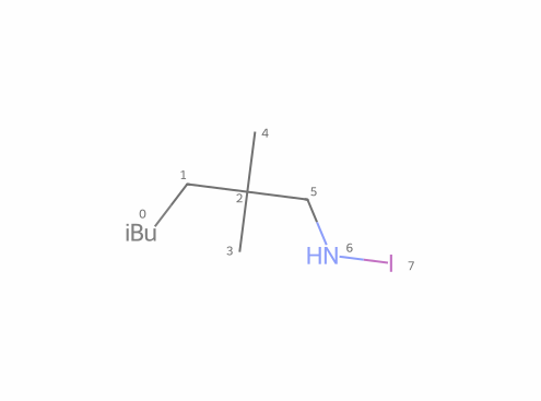 CCC(C)CC(C)(C)CNI